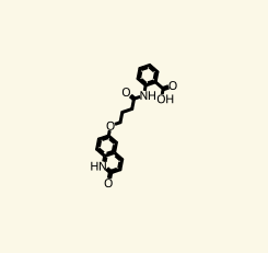 O=C(CCCOc1ccc2[nH]c(=O)ccc2c1)Nc1ccccc1C(=O)O